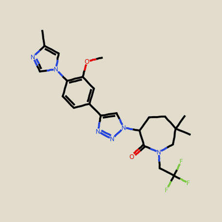 COc1cc(-c2cn(C3CCC(C)(C)CN(CC(F)(F)F)C3=O)nn2)ccc1-n1cnc(C)c1